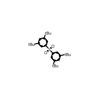 CC(C)(C)c1cc(C(C)(C)C)cc(S(=O)(=O)c2cc(C(C)(C)C)cc(C(C)(C)C)c2)c1